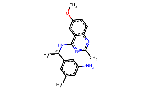 COc1[c]cc2nc(C)nc(N[C@H](C)c3cc(C)cc(N)c3)c2c1